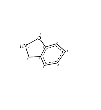 [c]1cccc2c1ONC2